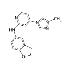 Cc1cn(-c2ccnc(Nc3ccc4c(c3)CCO4)c2)cn1